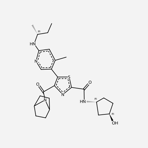 CC[C@@H](C)Nc1cc(C)c(-c2sc(C(=O)N[C@@H]3CC[C@@H](O)C3)nc2C(=O)N2C3CCC2CC3)cn1